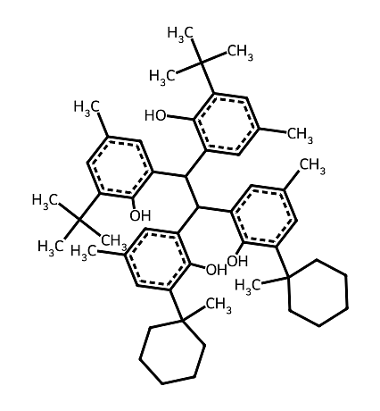 Cc1cc(C(c2cc(C)cc(C(C)(C)C)c2O)C(c2cc(C)cc(C3(C)CCCCC3)c2O)c2cc(C)cc(C3(C)CCCCC3)c2O)c(O)c(C(C)(C)C)c1